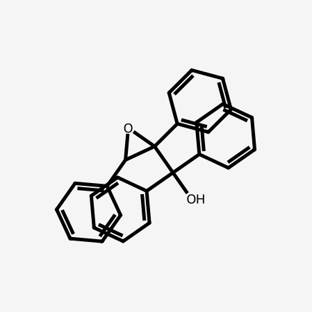 OC(c1ccccc1)(c1ccccc1)C1(c2ccccc2)OC1c1ccccc1